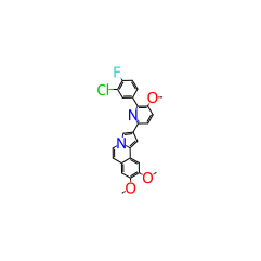 COc1cc2ccn3cc(-c4ccc(OC)c(-c5ccc(F)c(Cl)c5)n4)cc3c2cc1OC